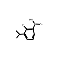 OB(O)c1cccc(C(F)F)c1F